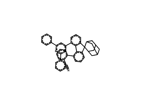 N#Cc1ccccc1-c1cccc2c1-c1c(-c3cc(-c4ccccc4)nc(-c4ccccc4)c3)cccc1C21C2CC3CC(C2)CC1C3